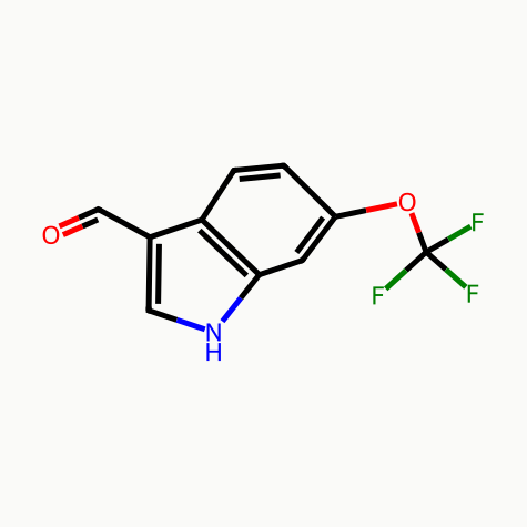 O=Cc1c[nH]c2cc(OC(F)(F)F)ccc12